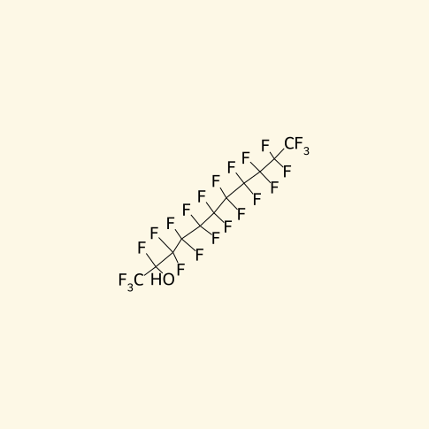 OC(F)(C(F)(F)F)C(F)(F)C(F)(F)C(F)(F)C(F)(F)C(F)(F)C(F)(F)C(F)(F)C(F)(F)C(F)(F)F